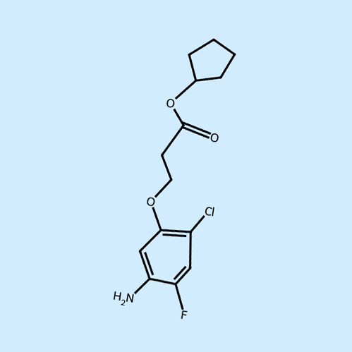 Nc1cc(OCCC(=O)OC2CCCC2)c(Cl)cc1F